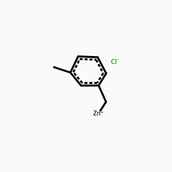 Cc1cccc([CH2][Zn+])c1.[Cl-]